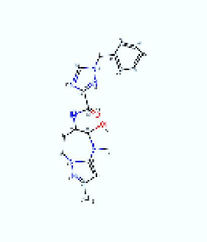 CN1c2cc(C(F)(F)F)nn2CCC(NC(=O)c2ncn(Cc3ccccc3)n2)C1O